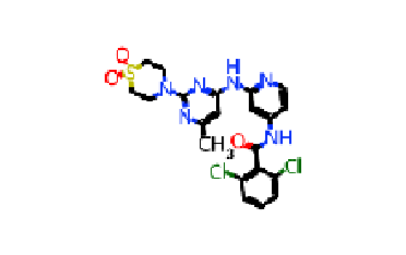 Cc1cc(Nc2cc(NC(=O)c3c(Cl)cccc3Cl)ccn2)nc(N2CCS(=O)(=O)CC2)n1